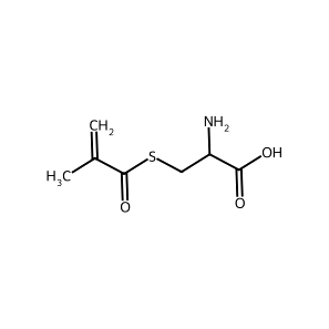 C=C(C)C(=O)SCC(N)C(=O)O